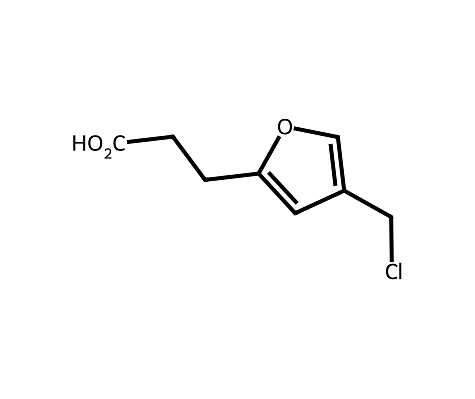 O=C(O)CCc1cc(CCl)co1